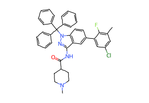 Cc1cc(Cl)cc(-c2ccc3c(c2)c(NC(=O)C2CCN(C)CC2)nn3C(c2ccccc2)(c2ccccc2)c2ccccc2)c1F